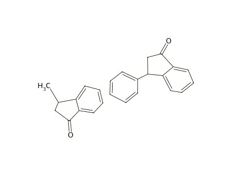 CC1CC(=O)c2ccccc21.O=C1CC(c2ccccc2)c2ccccc21